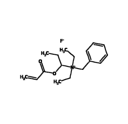 C=CC(=O)OC(CC)[N+](CC)(CC)Cc1ccccc1.[F-]